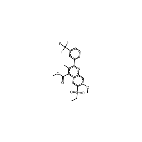 CCS(=O)(=O)c1cc2c(C(=O)OC)c(C)c(-c3cccc(C(F)(F)F)c3)nc2cc1OC